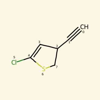 C#CC1C=C(Cl)SC1